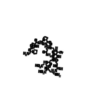 CC(C)[C@H](NC(=O)CNC(=O)[C@H](CCC(N)=O)NC(=O)[C@@H]1CCCN1C(=O)CNC(=O)[C@H](CO)NC(=O)[C@@H]1CCCN1C(=O)CN)C(=O)N[C@@H](CCCNC(=N)N)C(=O)NCC(=O)N[C@@H](CC(=O)O)C(=O)N[C@@H](CCCCN)C(=O)O